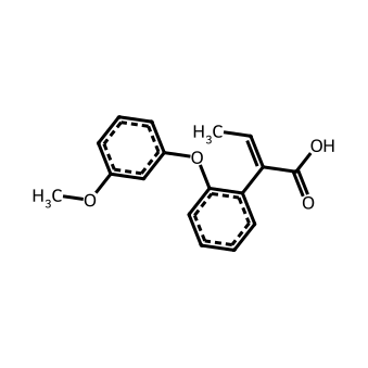 C/C=C(/C(=O)O)c1ccccc1Oc1cccc(OC)c1